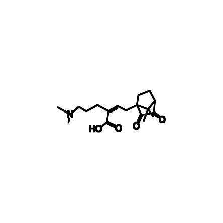 CN(C)CCCC(=CCC12CCC(C(=O)C1=O)C2(C)C)C(=O)O